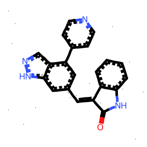 O=C1Nc2ccccc2/C1=C\c1cc(-c2ccncc2)c2cn[nH]c2c1